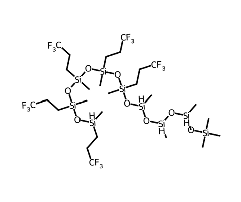 C[SiH](CCC(F)(F)F)O[Si](C)(CCC(F)(F)F)O[Si](C)(CCC(F)(F)F)O[Si](C)(CCC(F)(F)F)O[Si](C)(CCC(F)(F)F)O[SiH](C)O[SiH](C)O[SiH](C)O[Si](C)(C)C